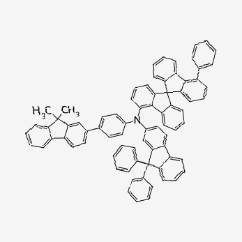 CC1(C)c2ccccc2-c2ccc(-c3ccc(N(c4ccc5c(c4)C(c4ccccc4)(c4ccccc4)c4ccccc4-5)c4cccc5c4-c4ccccc4C54c5ccccc5-c5c(-c6ccccc6)cccc54)cc3)cc21